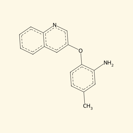 Cc1ccc(Oc2cnc3ccccc3c2)c(N)c1